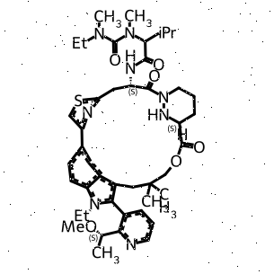 CCN(C)C(=O)N(C)C(C(=O)N[C@H]1Cc2nc(cs2)-c2ccc3c(c2)c(c(-c2cccnc2[C@H](C)OC)n3CC)CC(C)(C)COC(=O)[C@@H]2CCCN(N2)C1=O)C(C)C